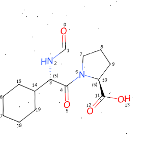 O=CN[C@H](C(=O)N1CCC[C@H]1C(=O)O)C1CCCCC1